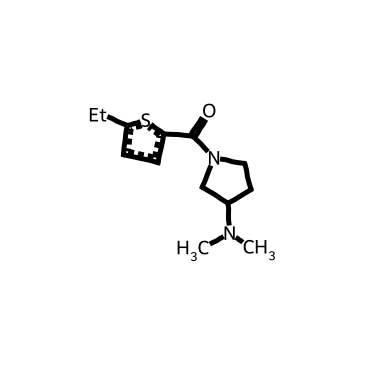 CCc1ccc(C(=O)N2CCC(N(C)C)C2)s1